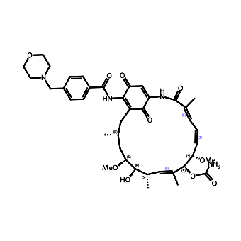 CO[C@H]1/C=C\C=C(/C)C(=O)NC2=CC(=O)C(NC(=O)c3ccc(CN4CCOCC4)cc3)=C(C[C@@H](C)C[C@H](OC)[C@H](O)[C@@H](C)/C=C(\C)[C@@H]1OC(N)=O)C2=O